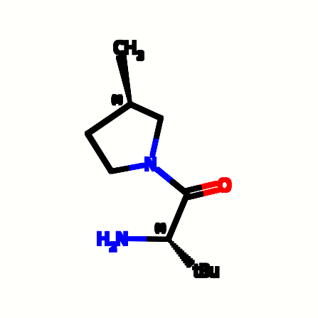 C[C@@H]1CCN(C(=O)[C@@H](N)C(C)(C)C)C1